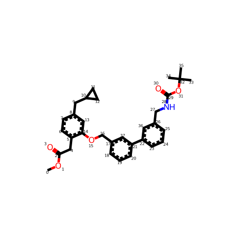 COC(=O)Cc1ccc(CC2CC2)cc1OCc1cccc(-c2cccc(CNC(=O)OC(C)(C)C)c2)c1